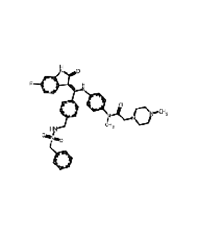 CN1CCN(CC(=O)N(C)c2ccc(N/C(=C3\C(=O)Nc4cc(F)ccc43)c3ccc(CNS(=O)(=O)Cc4ccccc4)cc3)cc2)CC1